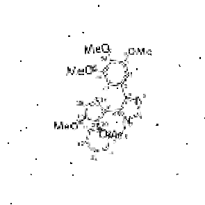 COc1cc(-c2ncn(Cc3ccccc3)c2-c2scc(OC)c2OC)cc(OC)c1OC